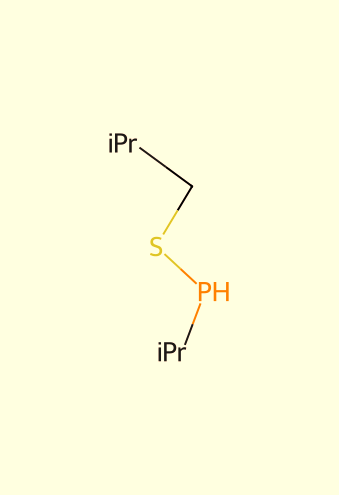 CC(C)CSPC(C)C